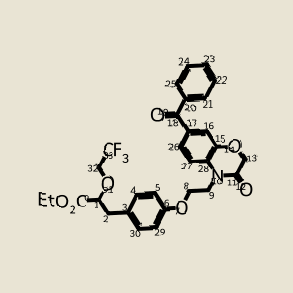 CCOC(=O)C(Cc1ccc(OCCN2C(=O)COc3cc(C(=O)c4ccccc4)ccc32)cc1)OCC(F)(F)F